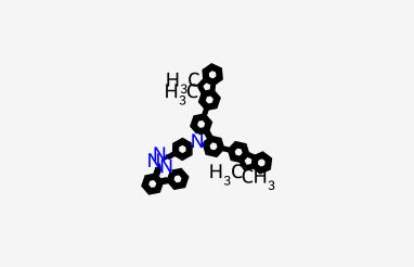 CC1(C)c2ccccc2-c2ccc(-c3ccc4c(c3)c3cc(-c5ccc6c(c5)C(C)(C)c5ccccc5-6)ccc3n4-c3ccc(-c4nnc5c6ccccc6c6ccccc6n45)cc3)cc21